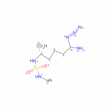 CCCNS(=O)(=O)N[C@@H](CCCC(N)N=[N+]=[N-])C(=O)O